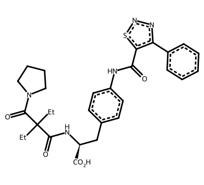 CCC(CC)(C(=O)N[C@@H](Cc1ccc(NC(=O)c2snnc2-c2ccccc2)cc1)C(=O)O)C(=O)N1CCCC1